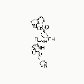 CC(C)C[C@H](NC(=O)OCc1ccncc1)C(=O)NC1CN(S(=O)(=O)c2cccc3cccnc23)CC1O